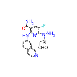 C[C@H](CC=O)N(N)c1nc(Nc2ccc3ccncc3c2)c(C(N)=O)cc1F